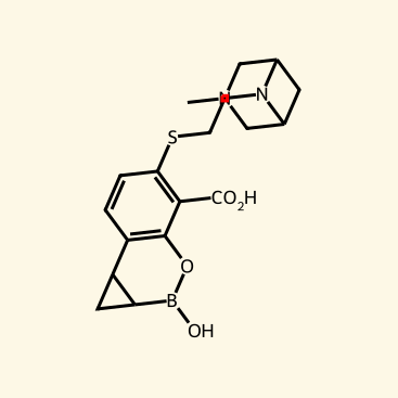 CN1CC2CC(C1)N2CCSc1ccc2c(c1C(=O)O)OB(O)C1CC21